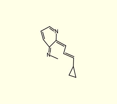 C/N=C1/C=CC=N/C1=C/C=C/C1CC1